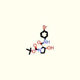 CC(C)(C)OC(=O)N1CC[C@H](O)[C@H]1C(=O)Nc1ccc(Br)cc1